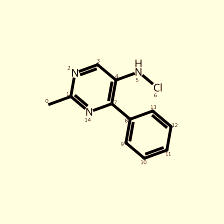 Cc1ncc(NCl)c(-c2ccccc2)n1